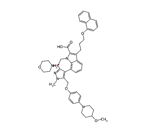 COC1CCN(c2ccc(OCc3c(-c4cccc5c(CCCOc6cccc7ccccc67)c(C(=O)O)n(CCN6CCOCC6)c45)c(C)nn3C)cc2)CC1